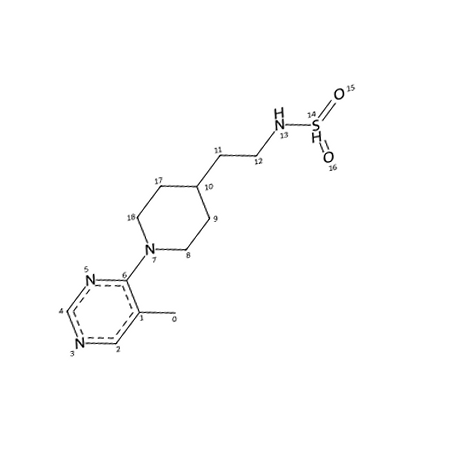 Cc1cncnc1N1CCC(CCN[SH](=O)=O)CC1